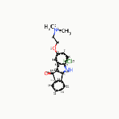 CN(C)CCOc1ccc2[nH]c3c(c2c1)C(=O)c1ccccc1-3.Cl